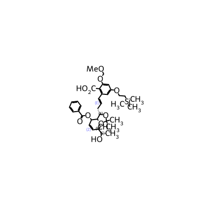 COCOc1cc(OCC[Si](C)(C)C)cc(/C=C/C[C@@H]2OC(C)(C)OC2C(/C=C\[C@@H](C)[C@H](C)O)OC(=O)c2ccccc2)c1C(=O)O